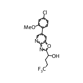 COc1cc(Cl)ccc1-c1cnc2nc(C(O)CCC(F)(F)F)oc2c1